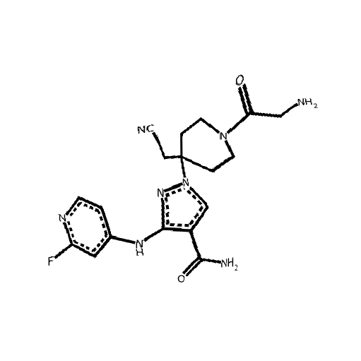 N#CCC1(n2cc(C(N)=O)c(Nc3ccnc(F)c3)n2)CCN(C(=O)CN)CC1